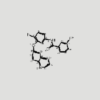 O=C(Nc1ccc(F)c(Oc2ccc3nccnc3c2)c1)c1cccc(F)c1